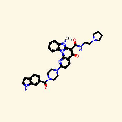 Cn1c2ccccc2n2c3nc(N4CCN(C(=O)c5ccc6cc[nH]c6c5)CC4)ccc3c(=O)c(C(=O)NCCN3CCCC3)c12